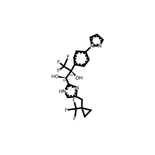 O[C@H](c1nc(CC2(C(F)(F)F)CC2)c[nH]1)[C@@](O)(c1ccc(-n2cccn2)cc1)C(F)(F)F